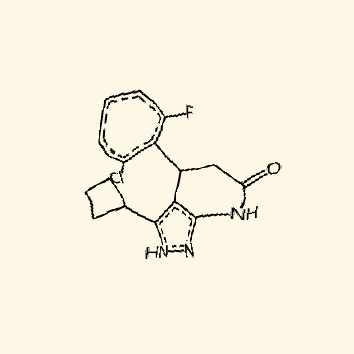 O=C1CC(c2c(F)cccc2Cl)c2c(n[nH]c2C2CCC2)N1